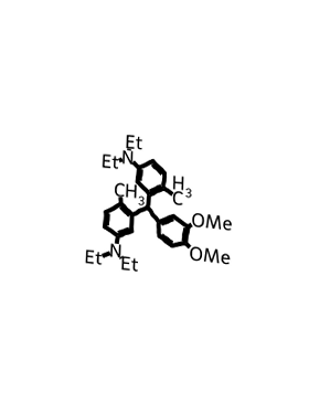 CCN(CC)c1ccc(C)c(C(c2ccc(OC)c(OC)c2)c2cc(N(CC)CC)ccc2C)c1